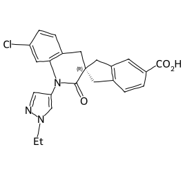 CCn1cc(N2C(=O)[C@@]3(Cc4ccc(C(=O)O)cc4C3)Cc3ccc(Cl)cc32)cn1